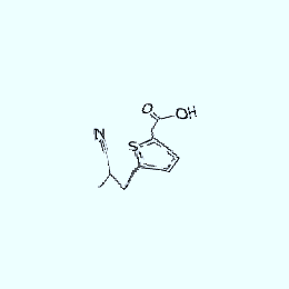 CC(C#N)Cc1ccc(C(=O)O)s1